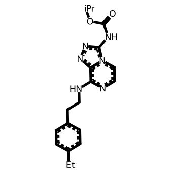 CCc1ccc(CCNc2nccn3c(NC(=O)OC(C)C)nnc23)cc1